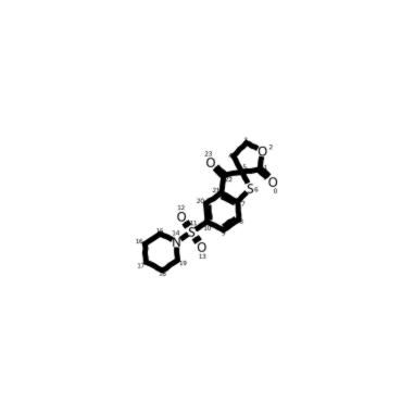 O=C1OCCC12Sc1ccc(S(=O)(=O)N3CCCCC3)cc1C2=O